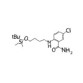 CC(C)(C)[Si](C)(C)OCCCCNc1ccc(Cl)cc1C(N)=O